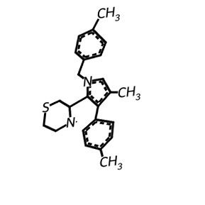 Cc1ccc(Cn2cc(C)c(-c3ccc(C)cc3)c2C2CSCC[N]2)cc1